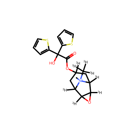 [2H]C1(OC(=O)C(O)(c2cccs2)c2cccs2)CC2([2H])C3([2H])OC3([2H])C([2H])(C1)[N+]2(C)C([2H])([2H])[2H]